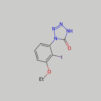 CCOc1cccc(-n2nn[nH]c2=O)c1I